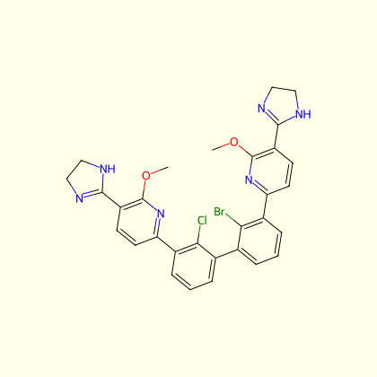 COc1nc(-c2cccc(-c3cccc(-c4ccc(C5=NCCN5)c(OC)n4)c3Br)c2Cl)ccc1C1=NCCN1